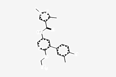 Cc1cc(-c2cc(NC(=O)c3cn(C)nc3C)cnc2OCC(F)(F)F)ccc1Cl